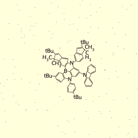 CC(C)(C)C1=Cc2cc(N3c4cc5c(cc4B4c6cc(C(C)(C)C)ccc6N(c6ccc(C(C)(C)C)cc6)c6cc(-n7c8ccccc8c8ccccc87)cc3c64)C(C)(C)C(C(C)(C)C)=C5)ccc2C1(C)C